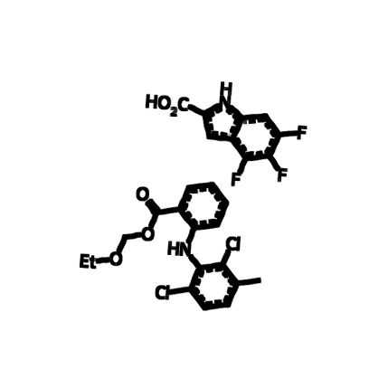 CCOCOC(=O)c1ccccc1Nc1c(Cl)ccc(C)c1Cl.O=C(O)c1cc2c(F)c(F)c(F)cc2[nH]1